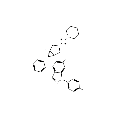 Cc1cc2c(cnn2-c2ccc(F)cc2)cc1[C@@]12CN(S(=O)(=O)N3CCCCC3)C[C@@H]1[C@H]2c1ccccc1